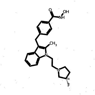 Cc1c(Cc2ccc(C(=O)NO)cc2)c2ccccc2n1CCN1CC[C@H](F)C1